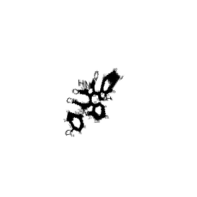 O=C1NC(=O)C(c2c(Cl)n(C3C=C[C@H](Cl)CC3)c3ccccc23)=C1c1c[nH]c2ccccc12